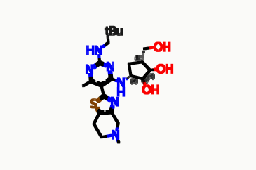 Cc1nc(NCC(C)(C)C)nc(N[C@@H]2C[C@H](CO)[C@@H](O)[C@H]2O)c1-c1nc2c(s1)CCN(C)C2